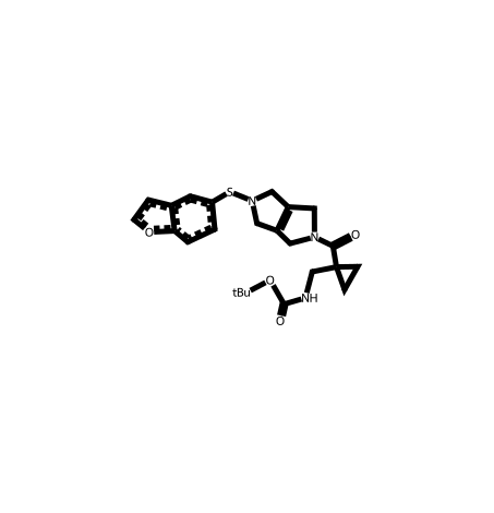 CC(C)(C)OC(=O)NCC1(C(=O)N2CC3=C(CN(Sc4ccc5occc5c4)C3)C2)CC1